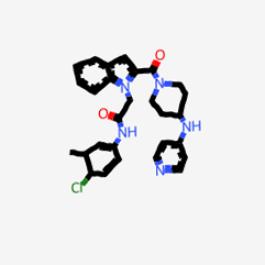 CC1C=C(NC(=O)Cn2c(C(=O)N3CCC(Nc4ccncc4)CC3)cc3ccccc32)C=CC1Cl